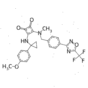 COc1ccc(C2(Nc3c(N(C)Cc4ccc(-c5noc(C(F)(F)F)n5)cc4)c(=O)c3=O)CC2)cc1